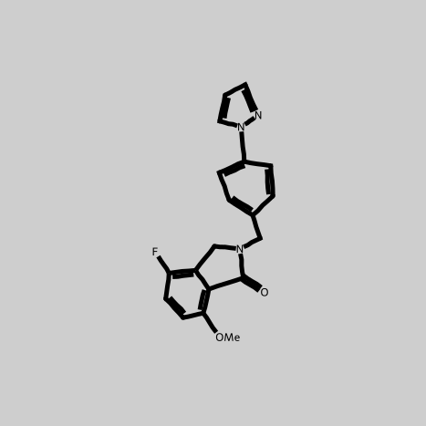 COc1ccc(F)c2c1C(=O)N(Cc1ccc(-n3cccn3)cc1)C2